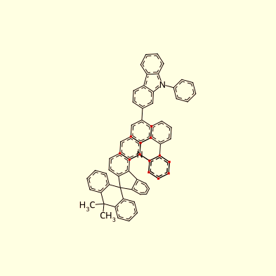 CC1(C)c2ccccc2C2(c3ccccc3-c3c(N(c4ccc(-c5ccc6c7ccccc7n(-c7ccccc7)c6c5)cc4)c4ccccc4-c4ccccc4-c4ccccc4-c4ccccc4)cccc32)c2ccccc21